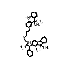 CC1(C)c2ccccc2Nc2ccc(/C=C/C/N=C\NC(N)C(c3ccccc3)c3ccc4c(c3)C(C)(C)c3ccccc3-4)cc21